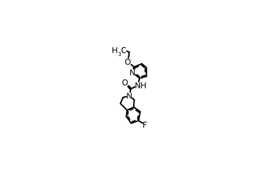 CCOc1cccc(NC(=O)N2CCc3ccc(F)cc3C2)n1